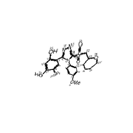 COc1ccc(-n2c(-c3cc(C(C)C)c(O)cc3O)nnc2S(=O)(=O)CC2CCCCO2)cc1